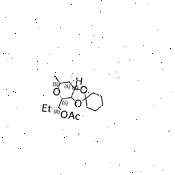 CC[C@@H](OC(C)=O)[C@@H]1O[C@@H](C)[C@H](C)[C@@H]2OC3(CCCCC3)OC21